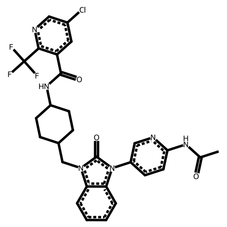 CC(=O)Nc1ccc(-n2c(=O)n(CC3CCC(NC(=O)c4cc(Cl)cnc4C(F)(F)F)CC3)c3ccccc32)cn1